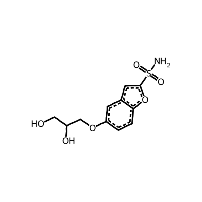 NS(=O)(=O)c1cc2cc(OCC(O)CO)ccc2o1